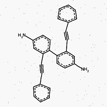 Nc1ccc(-c2ccc(N)cc2C#Cc2ccccc2)c(C#Cc2ccccc2)c1